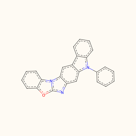 c1ccc(-n2c3ccccc3c3cc4c(cc32)nc2oc3ccccc3n24)cc1